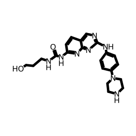 O=C(NCCCO)Nc1ccc2cnc(Nc3ccc(N4CCNCC4)cc3)nc2n1